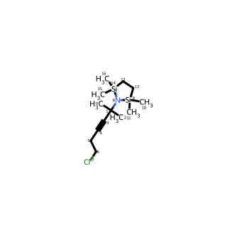 CC(C)(C#CCCCl)N1[Si](C)(C)CC[Si]1(C)C